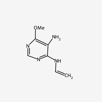 C=CNc1ncnc(OC)c1N